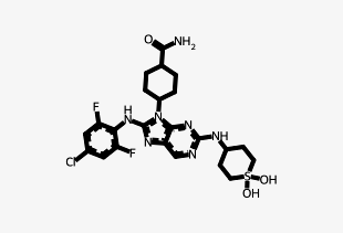 NC(=O)C1CCC(n2c(Nc3c(F)cc(Cl)cc3F)nc3cnc(NC4CCS(O)(O)CC4)nc32)CC1